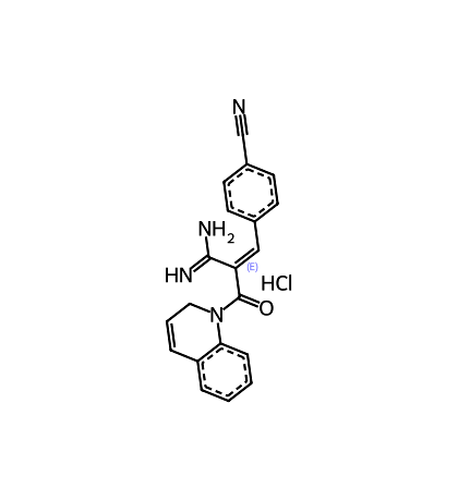 Cl.N#Cc1ccc(/C=C(\C(=N)N)C(=O)N2CC=Cc3ccccc32)cc1